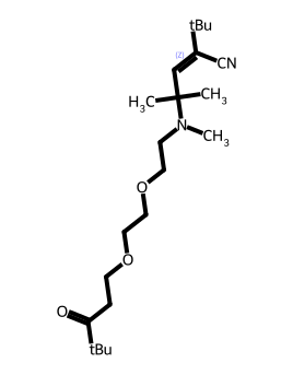 CN(CCOCCOCCC(=O)C(C)(C)C)C(C)(C)/C=C(\C#N)C(C)(C)C